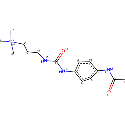 CC(=O)Nc1ccc(NC(=O)NCCC[N+](C)(C)C)cc1